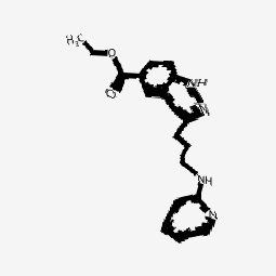 CCOC(=O)c1ccc2[nH]nc(CCCNc3ccccn3)c2c1